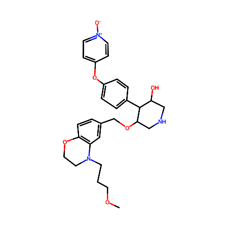 COCCCN1CCOc2ccc(COC3CNCC(O)C3c3ccc(Oc4cc[n+]([O-])cc4)cc3)cc21